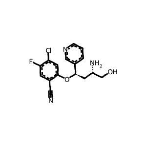 N#Cc1cc(F)c(Cl)cc1O[C@H](C[C@H](N)CO)c1cccnc1